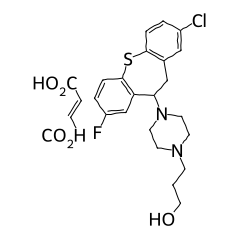 O=C(O)C=CC(=O)O.OCCCN1CCN(C2Cc3cc(Cl)ccc3Sc3ccc(F)cc32)CC1